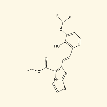 CCOC(=O)c1c(C=Cc2cccc(OC(F)F)c2O)nc2sccn12